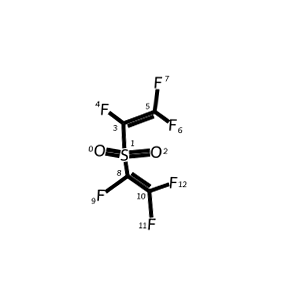 O=S(=O)(C(F)=C(F)F)C(F)=C(F)F